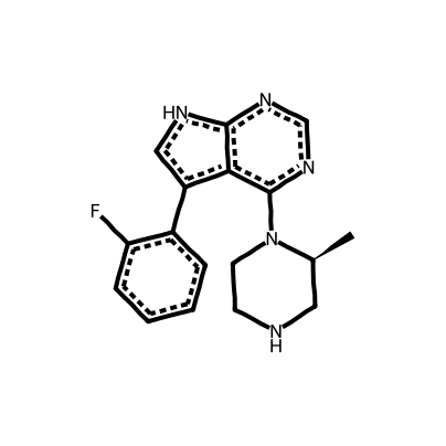 C[C@H]1CNCCN1c1ncnc2[nH]cc(-c3ccccc3F)c12